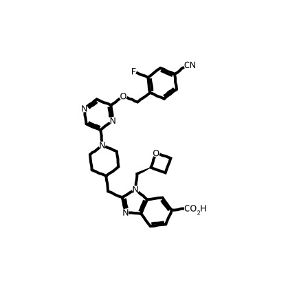 N#Cc1ccc(COc2cncc(N3CCC(Cc4nc5ccc(C(=O)O)cc5n4C[C@@H]4CCO4)CC3)n2)c(F)c1